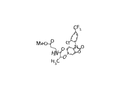 COC(=O)CCNC(=O)C(C)Oc1ccc2c(c1)oc(=O)n2-c1ccc(C(F)(F)F)cc1Cl